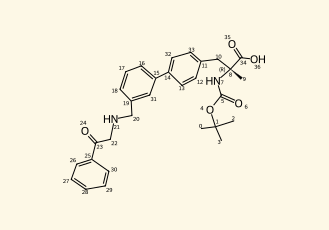 CC(C)(C)OC(=O)N[C@](C)(Cc1ccc(-c2cccc(CNCC(=O)c3ccccc3)c2)cc1)C(=O)O